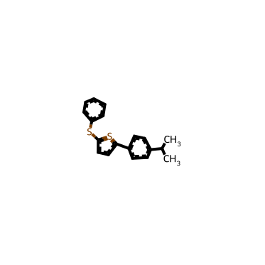 CC(C)c1ccc(-c2ccc(Sc3ccccc3)s2)cc1